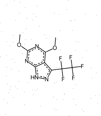 COc1nc(OC)c2c(C(F)(F)C(F)(F)F)n[nH]c2n1